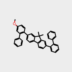 COc1ccc(-c2ccc3c(c2)C(C)(C)c2cc(-c4ccccc4-c4ccccc4)ccc2-3)c(-c2ccccc2)c1